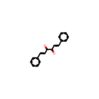 O=C(C=Cc1ccccc1)C(=O)C=Cc1ccccc1